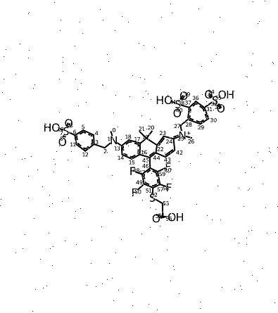 CN(Cc1ccc(S(=O)(=O)O)cc1)c1ccc2c(c1)C(C)(C)C1=C/C(=[N+](/C)Cc3ccc(S(=O)(=O)O)cc3S(=O)(=O)O)C=CC1=C2c1c(F)c(F)c(SCC(=O)O)c(F)c1F